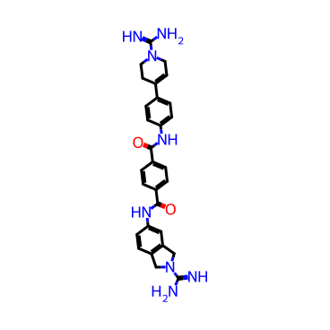 N=C(N)N1CC=C(c2ccc(NC(=O)c3ccc(C(=O)Nc4ccc5c(c4)CN(C(=N)N)C5)cc3)cc2)CC1